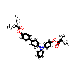 C=C(C)C(=O)Oc1ccc(-c2ccc(N(c3ccccc3)c3ccc(OC(=O)C(=C)C)cc3)cc2)cc1